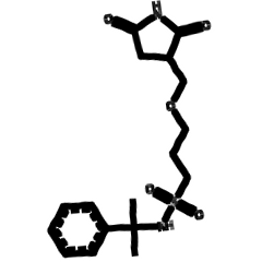 CC(C)(NS(=O)(=O)CCCOCC1CC(=O)NC1=O)c1ccccc1